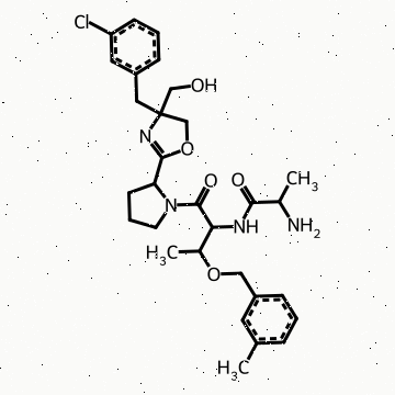 Cc1cccc(COC(C)C(NC(=O)C(C)N)C(=O)N2CCCC2C2=NC(CO)(Cc3cccc(Cl)c3)CO2)c1